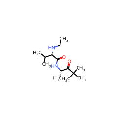 CCN[C@H](C(=O)N[C@@H](C)C(=O)C(C)(C)C)C(C)C